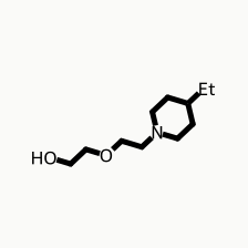 CCC1CCN(CCOCCO)CC1